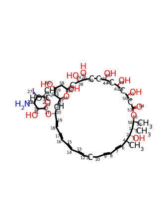 C[C@@H]1[C@H](O)[C@@H](C)/C=C/C=C/CC/C=C/C=C/C=C/C=C/[C@H](O[C@H]2O[C@@H](C)[C@H](I)[C@@H](N)[C@H]2O)C[C@@H]2O[C@](O)(C[C@@H](O)[C@H](O)CC[C@@H](O)C[C@@H](O)C[C@@H](O)CC(=O)O[C@H]1C)C[C@H](O)[C@H]2C(=O)O